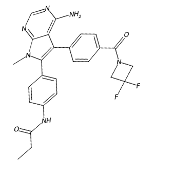 CCC(=O)Nc1ccc(-c2c(-c3ccc(C(=O)N4CC(F)(F)C4)cc3)c3c(N)ncnc3n2C)cc1